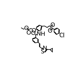 CCOC(=O)COc1ccc(CCCS(=O)(=O)c2ccc(Cl)cc2)cc1NC(=O)c1cccc(/C=C/c2nc(C3CC3)cs2)c1